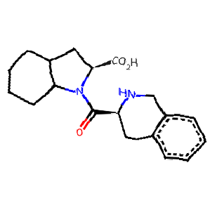 O=C(O)[C@@H]1CC2CCCCC2N1C(=O)[C@@H]1Cc2ccccc2CN1